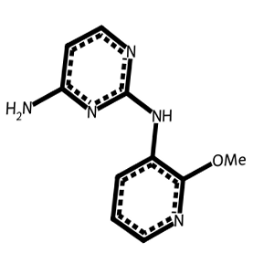 COc1ncccc1Nc1nccc(N)n1